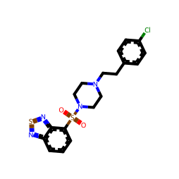 O=S(=O)(c1cccc2nsnc12)N1CCN(CCc2ccc(Cl)cc2)CC1